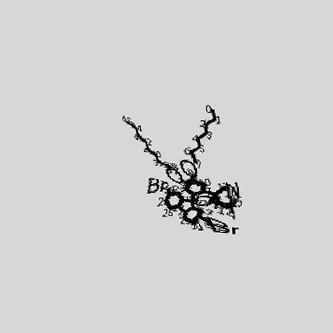 CCCCCCCCOc1cc(-c2cccnc2)c(C2(O)c3cc(Br)ccc3-c3ccc(Br)cc32)cc1OCCCCCCCC